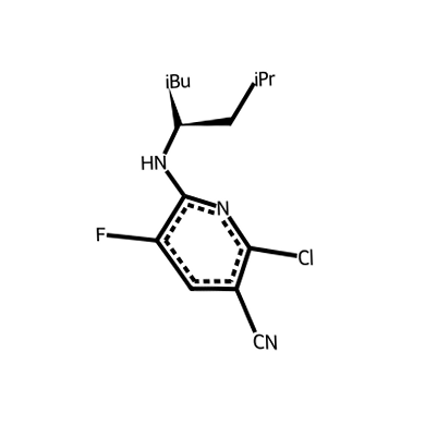 CC[C@H](C)[C@@H](CC(C)C)Nc1nc(Cl)c(C#N)cc1F